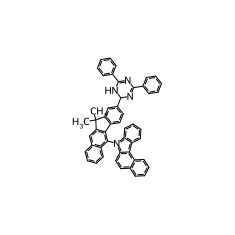 CC1(C)c2cc(C3N=C(c4ccccc4)N=C(c4ccccc4)N3)ccc2-c2c1cc1ccccc1c2-n1c2ccccc2c2c3ccccc3ccc21